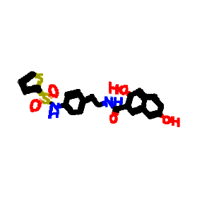 O=C(NCCc1ccc(NS(=O)(=O)c2cccs2)cc1)c1cc2cc(O)ccc2cc1O